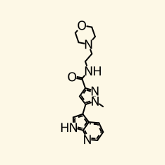 Cn1nc(C(=O)NCCN2CCOCC2)cc1-c1c[nH]c2ncccc12